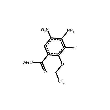 COC(=O)c1cc([N+](=O)[O-])c(N)c(F)c1OCC(F)(F)F